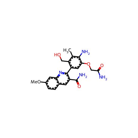 COc1ccc2cc(C(N)=O)c(-c3cc(OCC(N)=O)c(N)c(C)c3CO)nc2c1